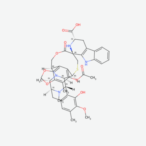 COc1c(C)cc2c(c1O)[C@H]1[C@@H]3[C@@H]4SC[C@]5(N[C@H](C(=O)O)Cc6c5[nH]c5ccccc65)C(=O)OC[C@@H](c5c6c(c(C)c(OC(C)=O)c54)OCO6)N3[C@@H](C)[C@H](C2)N1C